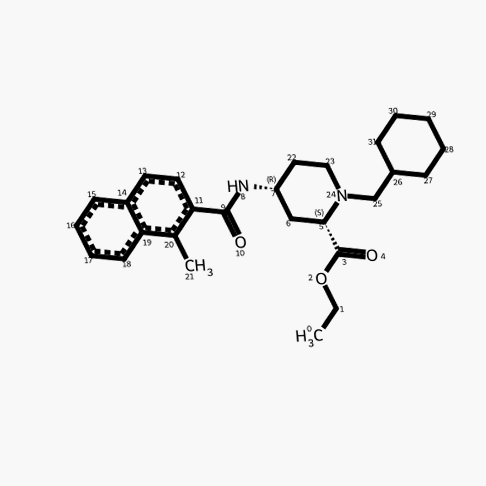 CCOC(=O)[C@@H]1C[C@H](NC(=O)c2ccc3ccccc3c2C)CCN1CC1CCCCC1